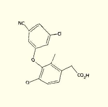 Cc1c(CC(=O)O)ccc(Cl)c1Oc1cc(Cl)cc(C#N)c1